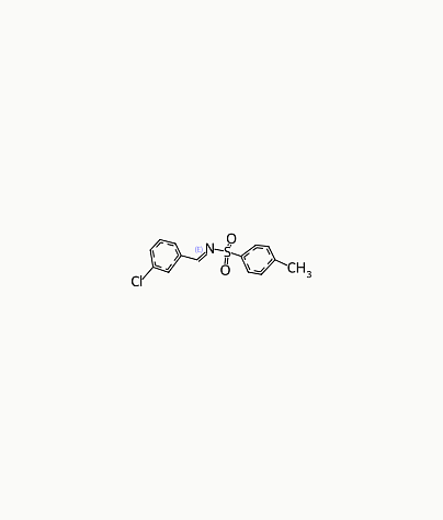 Cc1ccc(S(=O)(=O)/N=C/c2cccc(Cl)c2)cc1